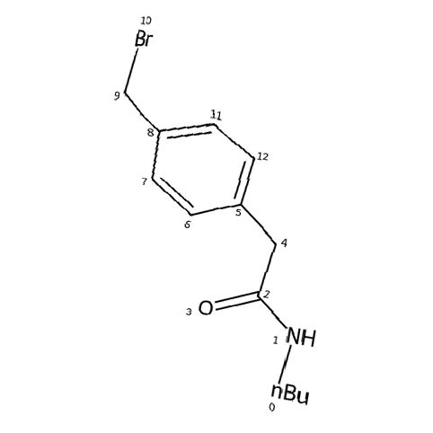 CCCCNC(=O)Cc1ccc(CBr)cc1